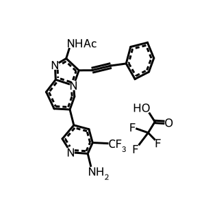 CC(=O)Nc1nc2ccc(-c3cnc(N)c(C(F)(F)F)c3)cn2c1C#Cc1ccccc1.O=C(O)C(F)(F)F